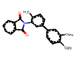 COc1ccc(-c2ccc(C)c(N3C(=O)c4ccccc4C3=O)c2)cc1OC